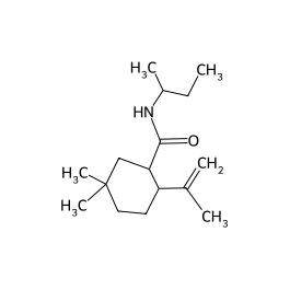 C=C(C)C1CCC(C)(C)CC1C(=O)NC(C)CC